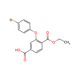 CCOC(=O)c1ccc(C(=O)O)cc1Oc1ccc(Br)cc1